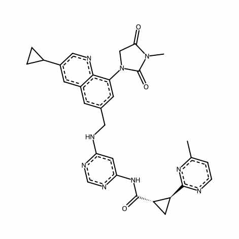 Cc1ccnc([C@H]2C[C@@H]2C(=O)Nc2cc(NCc3cc(N4CC(=O)N(C)C4=O)c4ncc(C5CC5)cc4c3)ncn2)n1